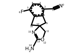 N#Cc1ccc(F)c2c1CC1(COC(N)=N1)C2